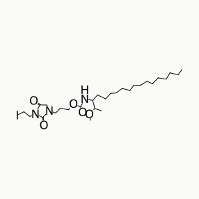 CCCCCCCCCCCCCCCC(NC(=O)OCCCN1CC(=O)N(CCI)C1=O)C(C)OC